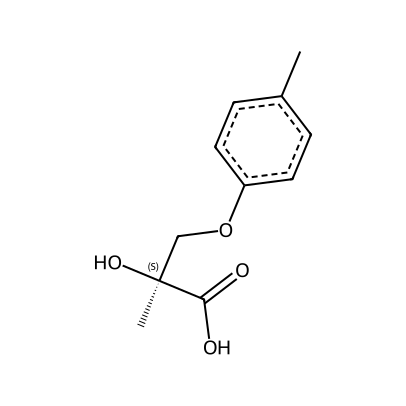 Cc1ccc(OC[C@](C)(O)C(=O)O)cc1